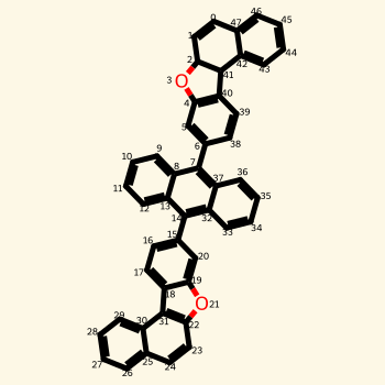 C1=CC2Oc3cc(-c4c5ccccc5c(-c5ccc6c(c5)oc5ccc7ccccc7c56)c5ccccc45)ccc3C2c2ccccc21